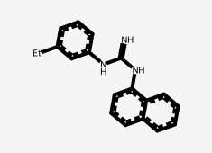 CCc1cccc(NC(=N)Nc2cccc3ccccc23)c1